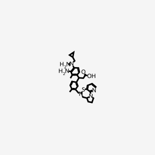 Cc1ccc(C(CC(=O)O)c2ccc(N(N)CC3CC3)c(N)c2C)cc1CN1CC2CCCN2c2ncccc2S1